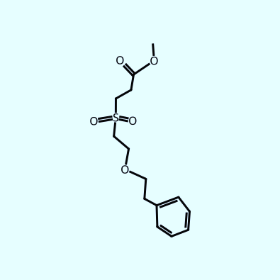 COC(=O)CCS(=O)(=O)CCOCCc1ccccc1